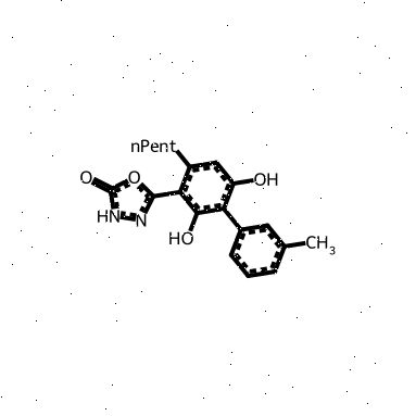 CCCCCc1cc(O)c(-c2cccc(C)c2)c(O)c1-c1n[nH]c(=O)o1